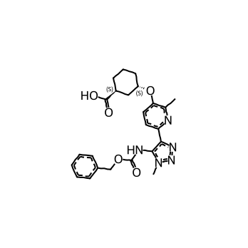 Cc1nc(-c2nnn(C)c2NC(=O)OCc2ccccc2)ccc1O[C@H]1CCC[C@H](C(=O)O)C1